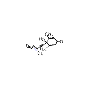 CC1=CC(=O)C=C(C)C1(O)C#C/C(C)=C/C=O